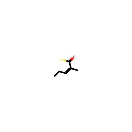 CCC=C(C)C(=O)S